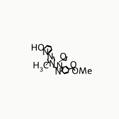 COC(=O)c1ccc2nc(CN3CCN(c4cccc(O)n4)C[C@@H]3C)n(C[C@@H]3CCO3)c2c1